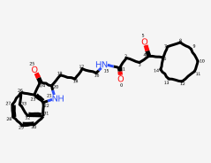 O=C(CCC(=O)C1CCCCCCCC1)NCCCCC1NC2=C(C1=O)C1/C=C\C=C/C2=CC1